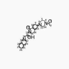 CC(=O)N1CCCN(c2ccc3c(c2)CCN(C[C@H](O)CN2CCc4ccccc4C2)C3=O)CC1